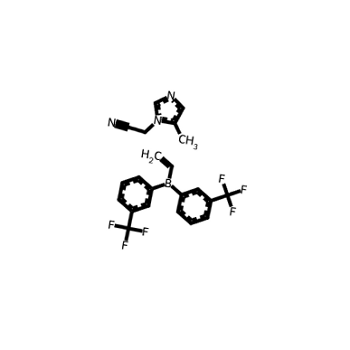 C=CB(c1cccc(C(F)(F)F)c1)c1cccc(C(F)(F)F)c1.Cc1cncn1CC#N